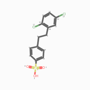 O=S(=O)(O)c1ccc(CCc2cc(Cl)ccc2Cl)cc1